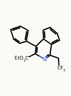 CCOC(=O)c1nc(CC(F)(F)F)c2ccccc2c1-c1ccccc1